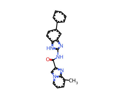 Cc1cccn2cc(C(=O)Nc3nc4cc(-c5ccccc5)ccc4[nH]3)nc12